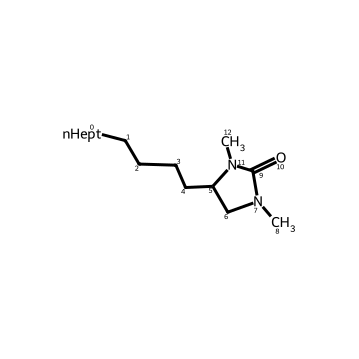 CCCCCCCCCCCC1CN(C)C(=O)N1C